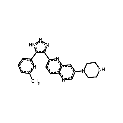 Cc1cccc(-c2[nH]nnc2-c2ccc3ncc(N4CCNCC4)cc3n2)n1